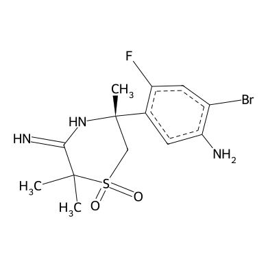 CC1(C)C(=N)N[C@](C)(c2cc(N)c(Br)cc2F)CS1(=O)=O